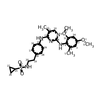 COc1cc(C)c(Nc2ncc(C)c(Nc3ccc(CCNS(=O)(=O)C4CC4)cc3)n2)c(OC)c1